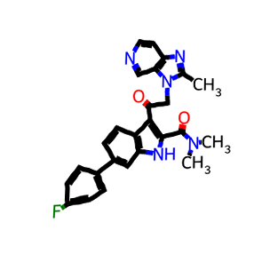 Cc1nc2ccncc2n1CC(=O)c1c(C(=O)N(C)C)[nH]c2cc(-c3ccc(F)cc3)ccc12